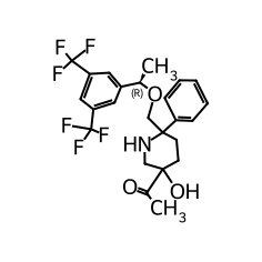 CC(=O)C1(O)CCC(CO[C@H](C)c2cc(C(F)(F)F)cc(C(F)(F)F)c2)(c2ccccc2)NC1